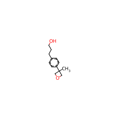 CC1(c2ccc(CCCO)cc2)COC1